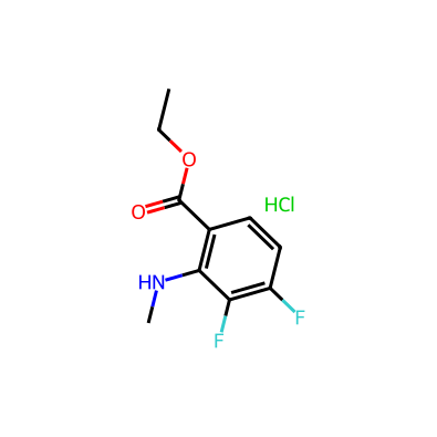 CCOC(=O)c1ccc(F)c(F)c1NC.Cl